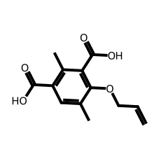 C=CCOc1c(C)cc(C(=O)O)c(C)c1C(=O)O